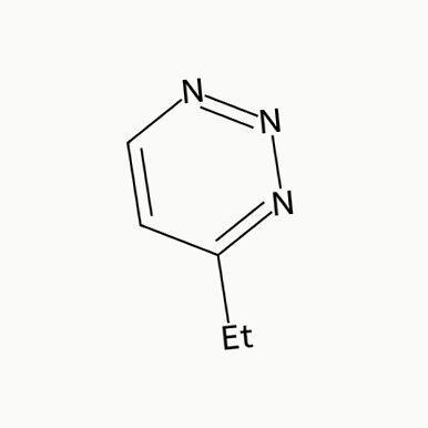 [CH2]Cc1ccnnn1